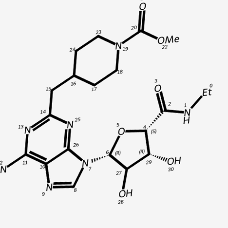 CCNC(=O)[C@H]1O[C@@H](n2cnc3c(N)nc(CC4CCN(C(=O)OC)CC4)nc32)C(O)[C@H]1O